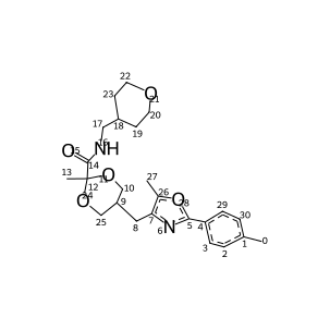 Cc1ccc(-c2nc(CC3COC(C)(C(=O)NCC4CCOCC4)OC3)c(C)o2)cc1